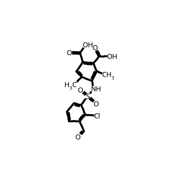 Cc1cc(C(=O)O)c(C(=O)O)c(C)c1NS(=O)(=O)c1cccc(C=O)c1Cl